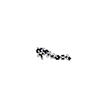 C[C@@H]1CCN(C(=O)CC#N)CC1/C=[N+](/C)c1ncnc2c1ccn2C(=O)NCC(=O)Nc1ccc(N2CCN(C(=O)OC(C)(C)C)CC2)cn1